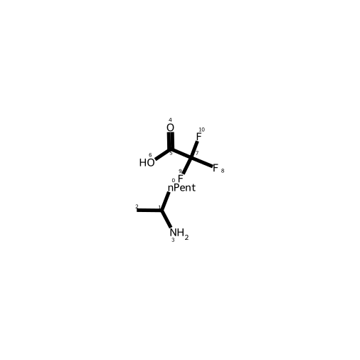 CCCCCC(C)N.O=C(O)C(F)(F)F